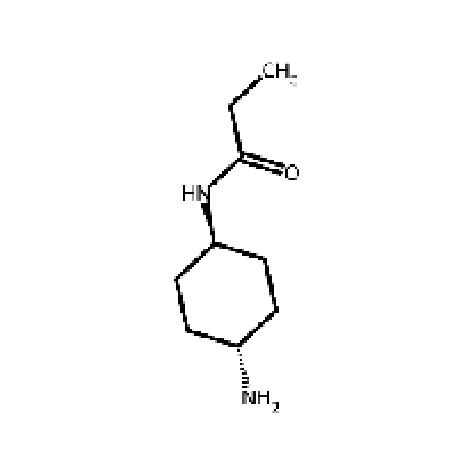 CCC(=O)N[C@H]1CC[C@H](N)CC1